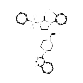 O=C([C@@H]1CN(S(=O)(=O)c2ccccc2)C(=O)N1c1ccccc1Cl)N1CCN(c2nsc3ccccc23)CC1